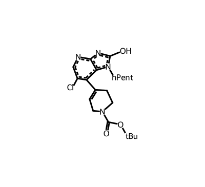 CCCCCn1c(O)nc2ncc(Cl)c(C3=CCN(C(=O)OC(C)(C)C)CC3)c21